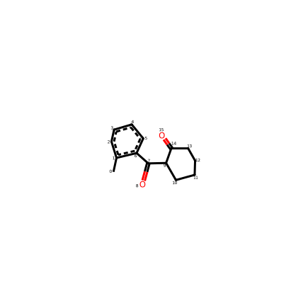 Cc1ccccc1C(=O)C1CCCCC1=O